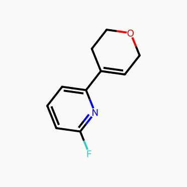 Fc1cccc(C2=CCOCC2)n1